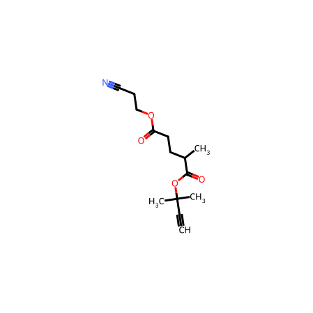 C#CC(C)(C)OC(=O)C(C)CCC(=O)OCCC#N